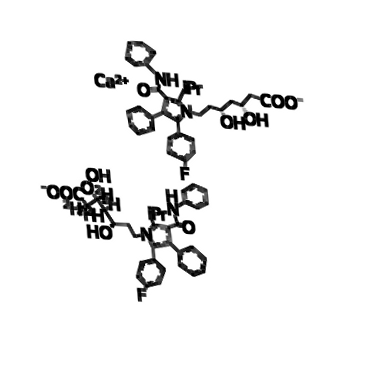 CC(C)c1c(C(=O)Nc2ccccc2)c(-c2ccccc2)c(-c2ccc(F)cc2)n1CC[C@@H](O)C[C@@H](O)CC(=O)[O-].[2H]C([2H])(C(=O)[O-])[C@]([2H])(OO)C([2H])([2H])[C@H](O)CCn1c(-c2ccc(F)cc2)c(-c2ccccc2)c(C(=O)Nc2ccccc2)c1C(C)C.[Ca+2]